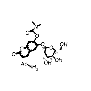 CC(N)=O.CN(C)C(=O)Oc1cc2oc(=O)ccc2cc1O[C@H]1C[C@@H](O)[C@H](O)[C@@H](CO)O1